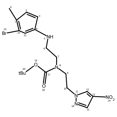 Cc1ccc(NCCN(CCn2cc([N+](=O)[O-])cn2)C(=O)OC(C)(C)C)cc1Br